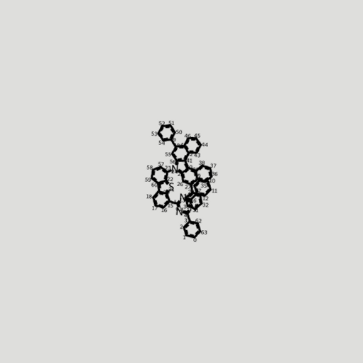 c1ccc(-c2nc(-c3ccccc3)nc(-c3cccc4c3sc3c(-n5c6cc(-c7ccccc7)c7ccccc7c6c6c7ccccc7c(-c7ccccc7)cc65)cccc34)n2)cc1